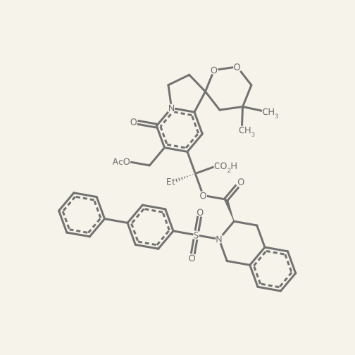 CC[C@@](OC(=O)[C@H]1Cc2ccccc2CN1S(=O)(=O)c1ccc(-c2ccccc2)cc1)(C(=O)O)c1cc2n(c(=O)c1COC(C)=O)CCC21CC(C)(C)COO1